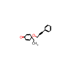 CCC1(OCC#Cc2ccccc2)C=CC(=O)C=C1